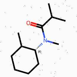 CC(C)C(=O)N(C)[C@@H]1CCCCC1C